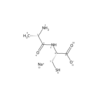 C[C@H](N)C(=O)N[C@@H](CS)C(=O)[O-].[Na+]